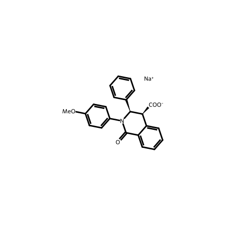 COc1ccc(N2C(=O)c3ccccc3[C@H](C(=O)[O-])[C@@H]2c2ccccc2)cc1.[Na+]